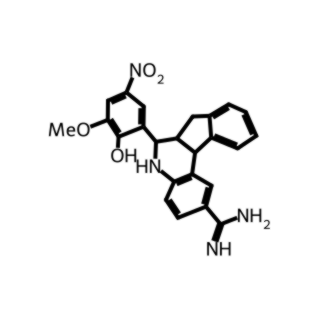 COc1cc([N+](=O)[O-])cc(C2Nc3ccc(C(=N)N)cc3C3c4ccccc4CC23)c1O